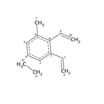 C=Cc1cccc(C)c1C=C.CC